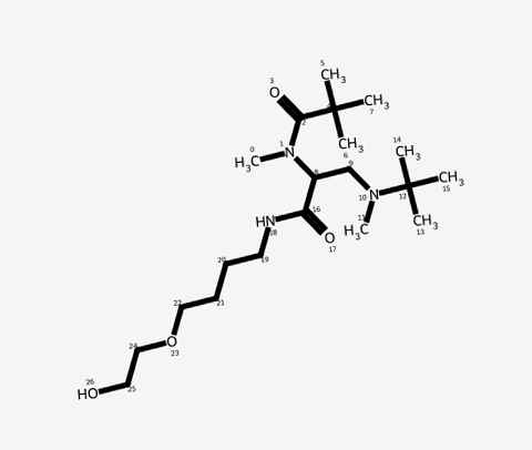 CN(C(=O)C(C)(C)C)C(CN(C)C(C)(C)C)C(=O)NCCCCOCCO